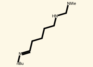 CCCCN=CCCCCNCNC